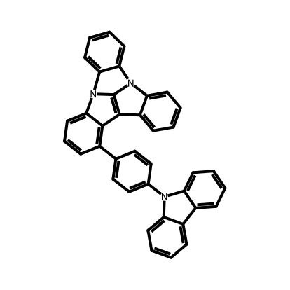 c1ccc2c(c1)c1ccccc1n2-c1ccc(-c2cccc3c2c2c4ccccc4n4c5ccccc5n3c24)cc1